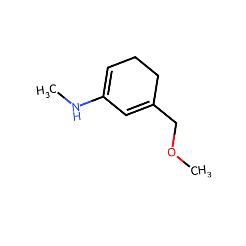 CNC1=CCCC(COC)=C1